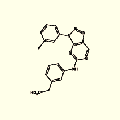 O=C(O)Cc1cccc(Nc2ncc3nnn(-c4cccc(F)c4)c3n2)c1